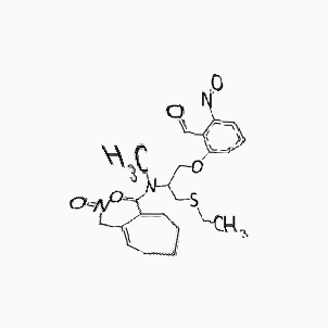 CCSCC(COc1cccc(N=O)c1C=O)N(C)C(=O)C1=CCCCC=C1CN=O